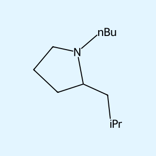 CCCCN1CCCC1CC(C)C